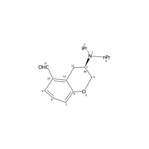 CCCN(C(C)C)[C@H]1COc2cccc(C=O)c2C1